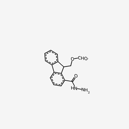 NNC(=O)c1cccc2c1C(CO[C]=O)c1ccccc1-2